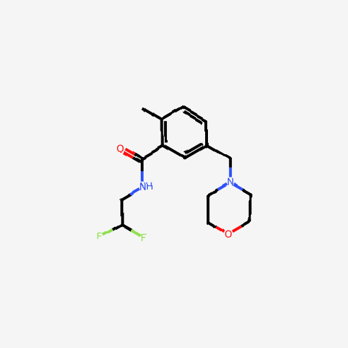 Cc1ccc(CN2CCOCC2)cc1C(=O)NCC(F)F